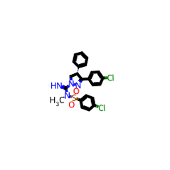 CN(C(=N)N1C[C@H](c2ccccc2)C(c2ccc(Cl)cc2)=N1)S(=O)(=O)c1ccc(Cl)cc1